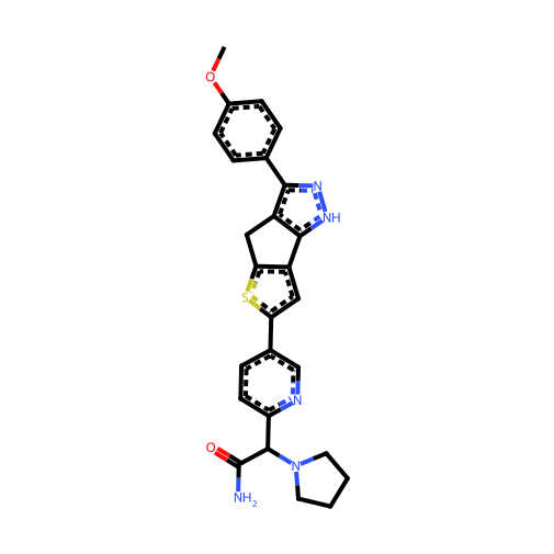 COc1ccc(-c2n[nH]c3c2Cc2sc(-c4ccc(C(C(N)=O)N5CCCC5)nc4)cc2-3)cc1